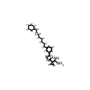 N=C(N)C1(c2nnc(-c3cccc(CCCCCCOCC4CCCCC4)c3)o2)CC1